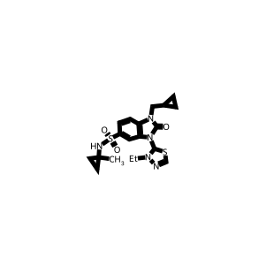 CCN1N=CSC1n1c(=O)n(CC2CC2)c2ccc(S(=O)(=O)NC3(C)CC3)cc21